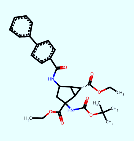 CCOC(=O)[C@H]1C2C(NC(=O)c3ccc(-c4ccccc4)cc3)CC(NC(=O)OC(C)(C)C)(C(=O)OCC)C21